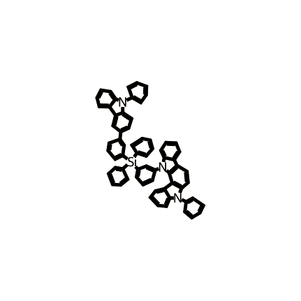 c1ccc(-n2c3ccccc3c3cc(-c4cccc([Si](c5ccccc5)(c5ccccc5)c5cccc(-n6c7ccccc7c7ccc8c(c9ccccc9n8-c8ccccc8)c76)c5)c4)ccc32)cc1